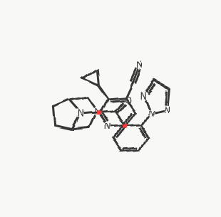 N#Cc1ccnc(N2C3CCC2CN(C(=O)c2ccccc2-n2nccn2)C3)c1C1CC1